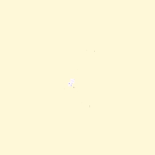 CCCCCCCCCCCCCCCCCN1C=CN(C(C)C)C1CCCCCCCCCCC